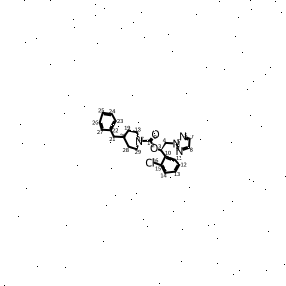 O=C(O[C@@H](Cn1nccn1)c1ccccc1Cl)N1CCC(Cc2ccccc2)CC1